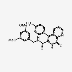 COc1cc(CNC(=O)c2[nH]c(=O)c3ncccc3c2-c2ccc(C)cc2)cc(OC)c1